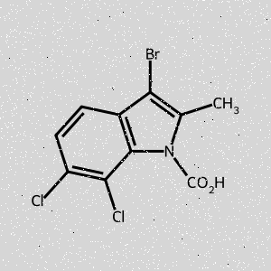 Cc1c(Br)c2ccc(Cl)c(Cl)c2n1C(=O)O